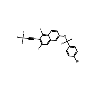 Fc1cc2cc(OC(F)(F)c3ccc(S)cc3)ccc2c(F)c1C#CC(F)(F)F